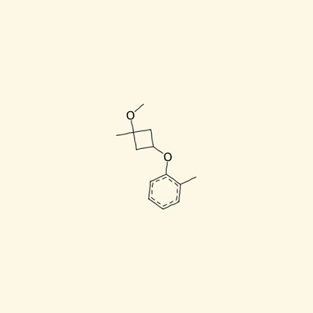 COC1(C)CC(Oc2ccccc2C)C1